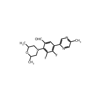 Cc1cnc(-c2cc(C=O)c(N3CC(C)OC(C)C3)c(F)c2F)cn1